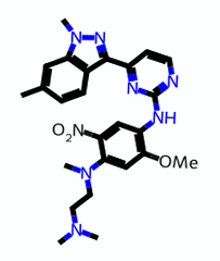 COc1cc(N(C)CCN(C)C)c([N+](=O)[O-])cc1Nc1nccc(-c2nn(C)c3cc(C)ccc23)n1